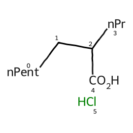 CCCCCCC(CCC)C(=O)O.Cl